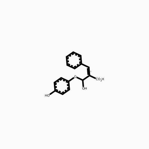 O=C(O)/C(=C/c1ccccc1)C(O)Oc1ccc(O)cc1